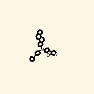 c1ccc(-c2ccc(N(c3ccc4c(ccc5c6ccccc6ccc45)c3)c3ccc4c(c3)oc3cnccc34)cc2)cc1